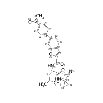 CC(C)C[C@H](NC(=O)c1cc2ccc(-c3ccc([S+](C)[O-])cc3)cc2o1)C(=O)NC1(C#N)CC1